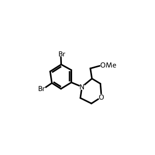 COCC1COCCN1c1cc(Br)cc(Br)c1